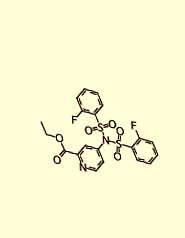 CCOC(=O)c1cc(N(S(=O)(=O)c2ccccc2F)S(=O)(=O)c2ccccc2F)ccn1